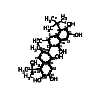 Cc1cc2c(C(C)(C)C)c(O)c(O)cc2c(O)c1-c1c(C)cc2c(C(C)(C)C)c(O)c(O)cc2c1O